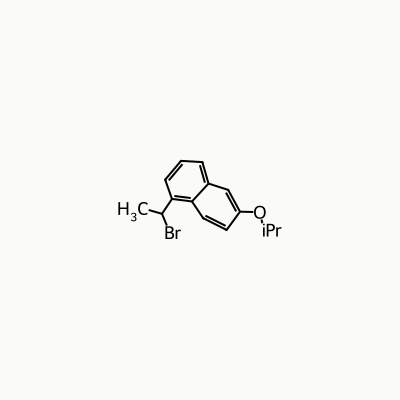 CC(C)Oc1ccc2c(C(C)Br)cccc2c1